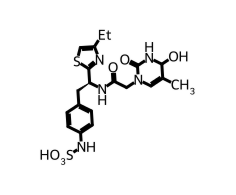 CCc1csc([C@H](Cc2ccc(NS(=O)(=O)O)cc2)NC(=O)CN2C=C(C)C(O)NC2=O)n1